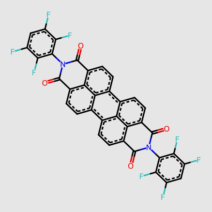 O=C1c2ccc3c4ccc5c6c(ccc(c7ccc(c2c37)C(=O)N1c1c(F)c(F)cc(F)c1F)c64)C(=O)N(c1c(F)c(F)cc(F)c1F)C5=O